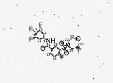 O=C(Nc1cc(F)c(F)c(F)c1)c1ccc(F)c(S(=O)(=O)N2CCOCC(F)C2)c1